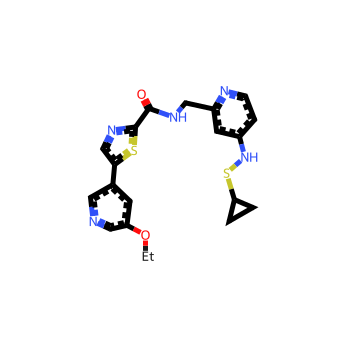 CCOc1cncc(-c2cnc(C(=O)NCc3cc(NSC4CC4)ccn3)s2)c1